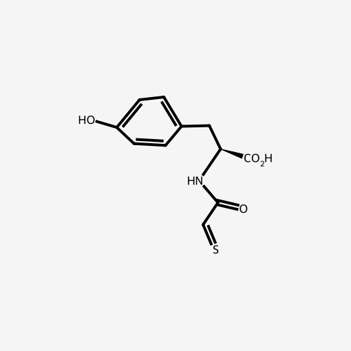 O=C(C=S)N[C@@H](Cc1ccc(O)cc1)C(=O)O